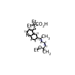 C=C(/C=C\C=C(/C)c1ccc2nccc(SC(CC)(CC)C(=O)O)c2c1)OCC